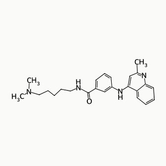 Cc1cc(Nc2cccc(C(=O)NCCCCCN(C)C)c2)c2ccccc2n1